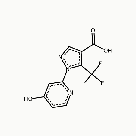 O=C(O)c1cnn(-c2cc(O)ccn2)c1C(F)(F)F